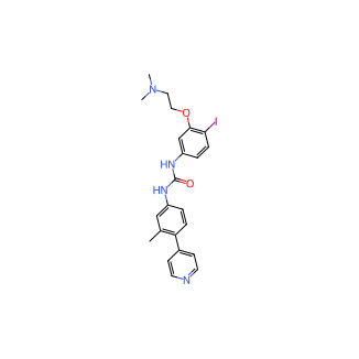 Cc1cc(NC(=O)Nc2ccc(I)c(OCCN(C)C)c2)ccc1-c1ccncc1